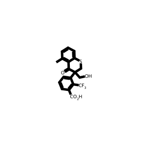 Cc1cccc2c1C(=O)C(CO)(c1cccc(C(=O)O)c1C(F)(F)F)CS2